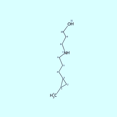 CC1CC1CCCNCCCO